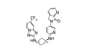 O=C1c2ncccc2CN1c1ccc(N[C@H]2CC[C@H](Nc3nc4cc(C(F)(F)F)ccn4n3)C2)nc1